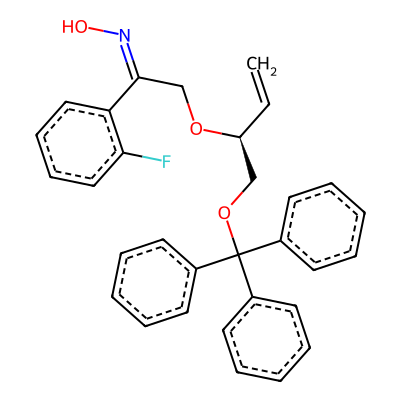 C=C[C@@H](COC(c1ccccc1)(c1ccccc1)c1ccccc1)OC/C(=N/O)c1ccccc1F